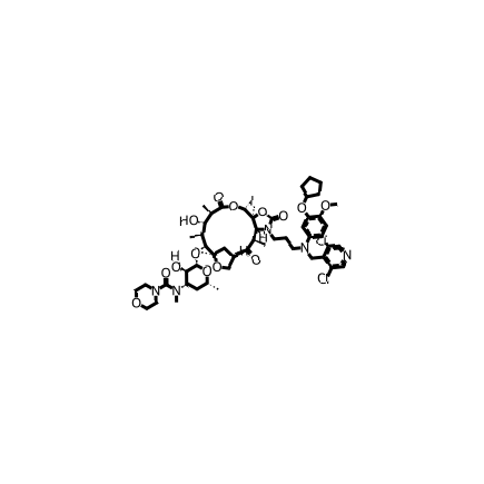 COc1ccc(N(CCCN2C(=O)O[C@]3(C)[C@@H](I)OC(=O)[C@H](C)[C@@H](O)[C@H](C)[C@@H](O[C@@H]4O[C@H](C)C[C@H](N(C)C(=O)N5CCOCC5)[C@H]4O)[C@@]4(C)C[C@@H](CO4)C(=O)[C@H](C)[C@@H]23)Cc2c(Cl)cncc2Cl)cc1OC1CCCC1